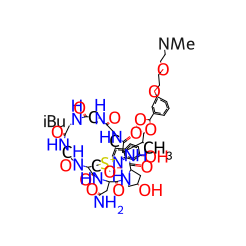 CC[C@H](C)[C@@H]1NC(=O)CNC(=O)C2Cc3c([nH]c4cc(O)ccc34)[S@+]([O-])CC(NC(=O)CNC1=O)C(=O)NC(CC(N)=O)C(=O)N1CC(O)CC1C(=O)N[C@@H]([C@@H](C)[C@@H]1COC(c3cccc(OCCOCCNC)c3)O1)C(=O)N2